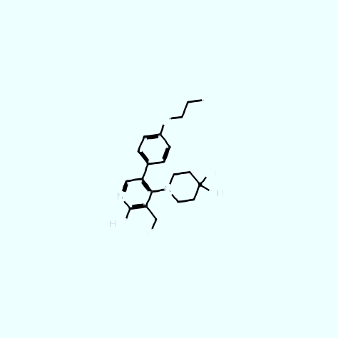 Cc1ncc(-c2ccc(OCCC(C)C)cc2)c(N2CCC(C)(C)CC2)c1CC(=O)O